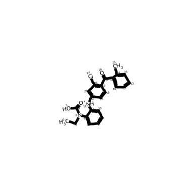 CCN(C(=O)O)c1ccccc1Nc1ccc(C(=O)c2ccccc2C)c(Cl)c1